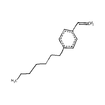 C=Cc1ccc(CCCCCCC)cc1